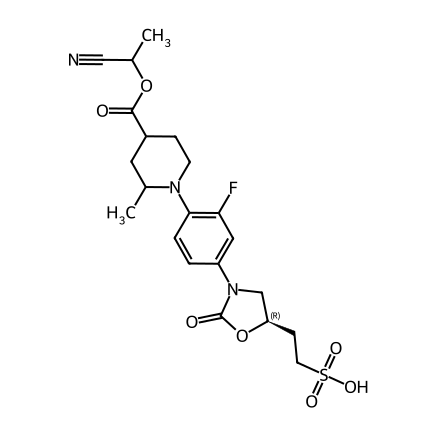 CC(C#N)OC(=O)C1CCN(c2ccc(N3C[C@@H](CCS(=O)(=O)O)OC3=O)cc2F)C(C)C1